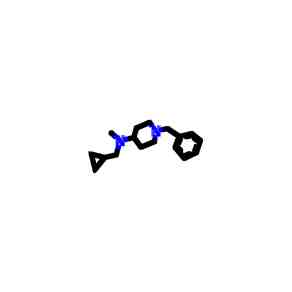 CN(CC1CC1)C1CCN(Cc2ccccc2)CC1